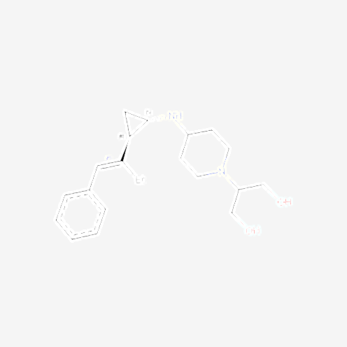 CC/C(=C\c1ccccc1)[C@H]1C[C@@H]1NC1CCN(C(CO)CO)CC1